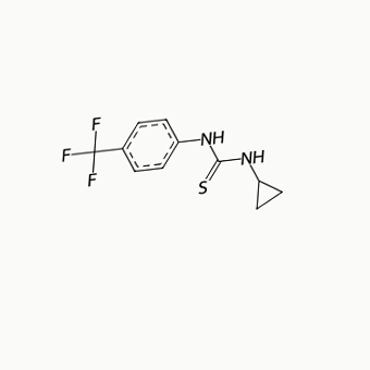 FC(F)(F)c1ccc(NC(=S)NC2CC2)cc1